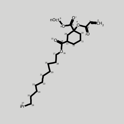 C=CC(=O)OC1(C(=O)OCCCCCCCC)CCCC(C(=O)OCCCCCCCCCCC(C)C)C1